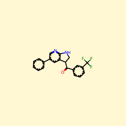 O=C(c1cccc(C(F)(F)F)c1)C1CNc2ncc(-c3ccccc3)cc21